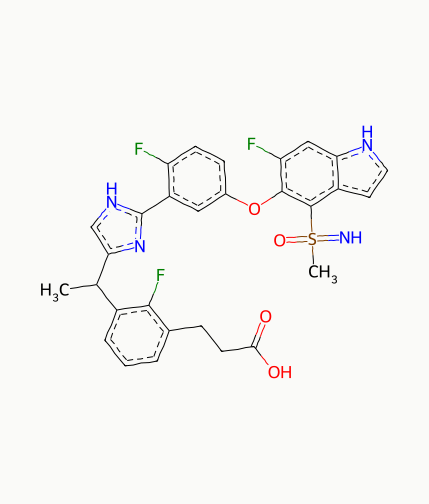 CC(c1c[nH]c(-c2cc(Oc3c(F)cc4[nH]ccc4c3S(C)(=N)=O)ccc2F)n1)c1cccc(CCC(=O)O)c1F